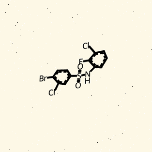 O=S(=O)(Nc1cccc(Cl)c1F)c1ccc(Br)c(Cl)c1